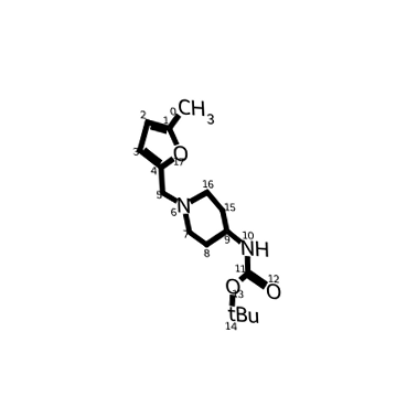 Cc1ccc(CN2CCC(NC(=O)OC(C)(C)C)CC2)o1